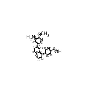 COc1ncc(-c2ccc3nccc(-c4ccc(CO)nc4)c3c2)cc1N